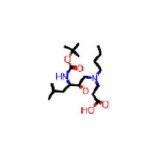 CCCCN(CCC(=O)O)CC(=O)C(CC(C)C)NC(=O)OC(C)(C)C